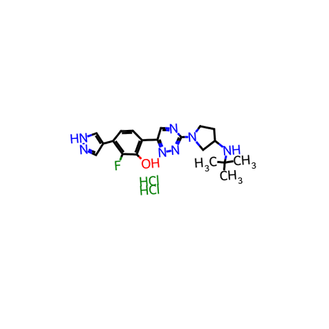 CC(C)(C)NC1CCN(c2ncc(-c3ccc(-c4cn[nH]c4)c(F)c3O)nn2)C1.Cl.Cl